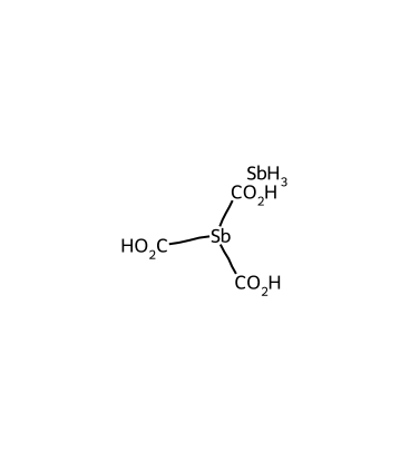 O=[C](O)[Sb]([C](=O)O)[C](=O)O.[SbH3]